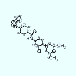 CC1CN(c2ccc(NC(=O)C3CCC(NS(=O)(=O)C(C)C)CC3)cc2Cl)CC(C)O1